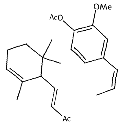 C/C=C\c1ccc(OC(C)=O)c(OC)c1.CC(=O)/C=C/C1C(C)=CCCC1(C)C